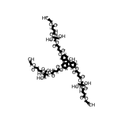 C#CCOC(=O)CCC(=O)NC(CO)(CO)COC(=O)CCC(=O)Oc1ccc(C(C)(c2ccc(OC(=O)CCC(=O)OCC(CO)(CO)NC(=O)CCC(=O)OCC#C)cc2)c2ccc(OC(=O)CCC(=O)OCC(CO)(CO)NC(=O)CCC(=O)OCC#C)cc2)cc1